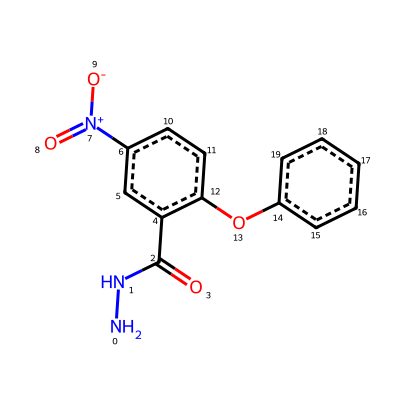 NNC(=O)c1cc([N+](=O)[O-])ccc1Oc1ccccc1